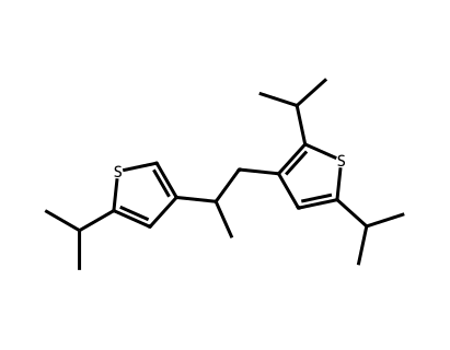 CC(C)c1cc(C(C)Cc2cc(C(C)C)sc2C(C)C)cs1